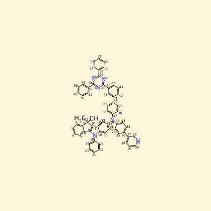 CC1(C)c2ccccc2-c2c1c1cc3c(cc1n2-c1ccccc1)c1cc(-c2cccnc2)ccc1n3-c1ccc(-c2cccc(-c3nc(-c4ccccc4)nc(-c4ccccc4)n3)c2)cc1